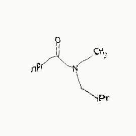 [CH2]CCC(=O)N(C)CC(C)C